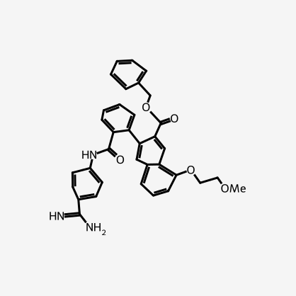 COCCOc1cccc2cc(-c3ccccc3C(=O)Nc3ccc(C(=N)N)cc3)c(C(=O)OCc3ccccc3)cc12